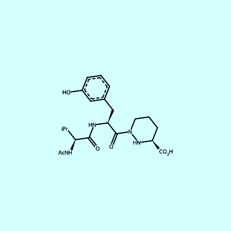 CC(=O)N[C@H](C(=O)N[C@@H](Cc1cccc(O)c1)C(=O)N1CCC[C@@H](C(=O)O)N1)C(C)C